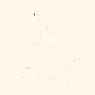 CC[C@H]1CC[C@](NC(=O)c2cc(F)c(OC)c(OCCc3cccc(CCO)c3)c2)(C(=O)O)CC1